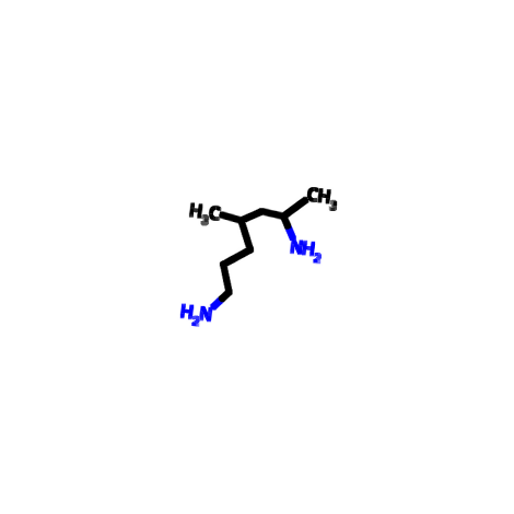 CC(N)CC(C)CCCN